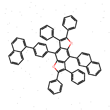 c1ccc(-c2oc3c(-c4ccc5ccccc5c4)c4c(-c5ccccc5)c(-c5ccccc5)oc4c(-c4ccc(-c5cccc6ccccc56)cc4)c3c2-c2ccccc2)cc1